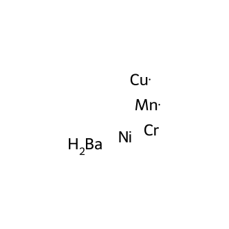 [BaH2].[Cr].[Cu].[Mn].[Ni]